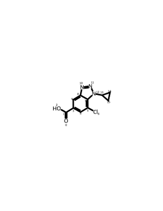 O=C(O)c1cc(Cl)c2c(c1)nnn2C1CC1